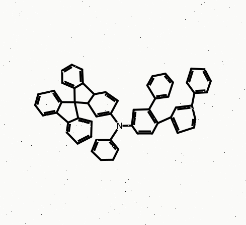 C1=CC(N(C2=CC3C(C=C2)c2ccccc2C32c3ccccc3-c3ccccc32)c2ccc(-c3cccc(-c4ccccc4)c3)c(-c3ccccc3)c2)=CCC1